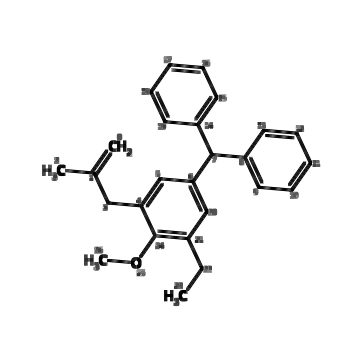 C=C(C)Cc1cc(C(c2ccccc2)c2ccccc2)cc(CC)c1OC